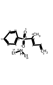 C=CC=C(C)S(=O)(=O)c1ccccc1.CCNCC